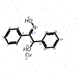 O/N=C(\c1ccccc1)C(O)c1ccccc1.[Cu]